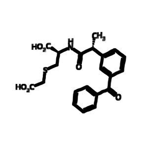 C[C@@H](C(=O)N[C@@H](CSCC(=O)O)C(=O)O)c1cccc(C(=O)c2ccccc2)c1